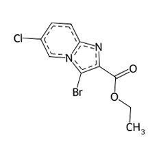 CCOC(=O)c1nc2ccc(Cl)cn2c1Br